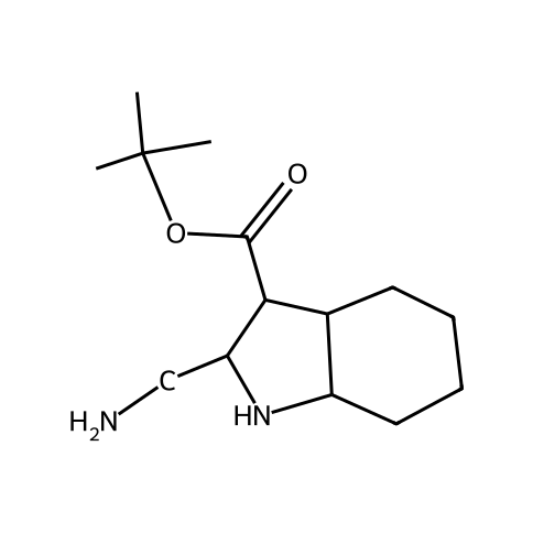 CC(C)(C)OC(=O)C1C(CN)NC2CCCCC21